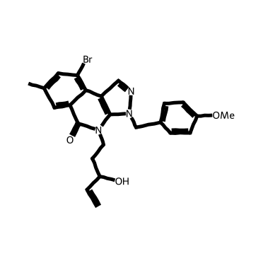 C=CC(O)CCn1c(=O)c2cc(C)cc(Br)c2c2cnn(Cc3ccc(OC)cc3)c21